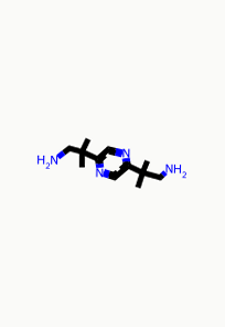 CC(C)(CN)c1cnc(C(C)(C)CN)cn1